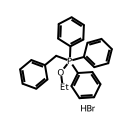 Br.CCOP(Cc1ccccc1)(c1ccccc1)(c1ccccc1)c1ccccc1